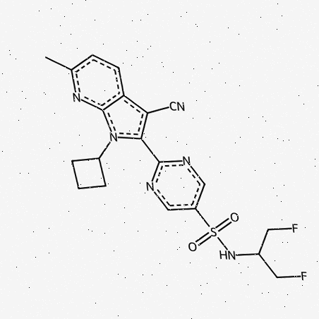 Cc1ccc2c(C#N)c(-c3ncc(S(=O)(=O)NC(CF)CF)cn3)n(C3CCC3)c2n1